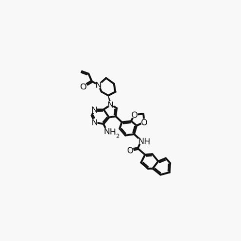 C=CC(=O)N1CCC[C@@H](n2cc(-c3ccc(NC(=O)c4ccc5ccccc5c4)c4c3OCO4)c3c(N)ncnc32)C1